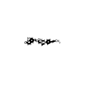 CC#Cc1ccc(N2CCN(C[C@H](O)COc3ccc4c(c3)CCC(=O)N4)CC2)cc1